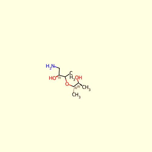 CC(O[C@@H](C)[C@H](C)O)[C@@H](O)CN